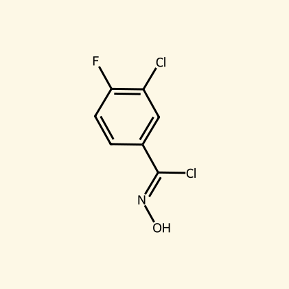 ON=C(Cl)c1ccc(F)c(Cl)c1